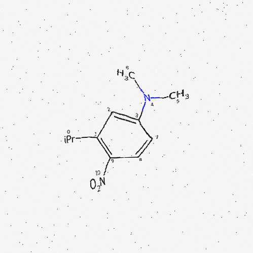 CC(C)c1cc(N(C)C)ccc1[N+](=O)[O-]